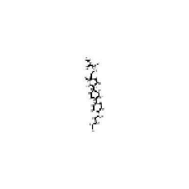 C=CC(=O)N(C)CCc1ccc(-c2ccc(C3CCC(CCCCC)CC3)cc2)cc1C